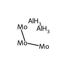 [AlH3].[AlH3].[Mo][Mo][Mo]